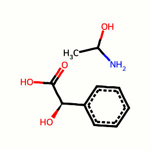 CC(N)O.O=C(O)[C@H](O)c1ccccc1